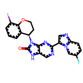 O=c1[nH]c2cnc(-c3cnc4ccc(F)cn34)nc2n1[C@@H]1CCOc2c(I)cccc21